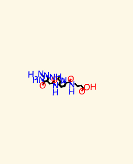 C=Cc1nc(C(=O)NCCCC(=O)O)ccc1NC(=O)Cc1c(N)nc(N)[nH]c1=O